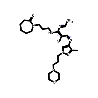 Cc1nn(CCCN2CCOCC2)cc1\N=C/C(Br)=C(\N=C\N)NCCCN1CCCCCC1=S